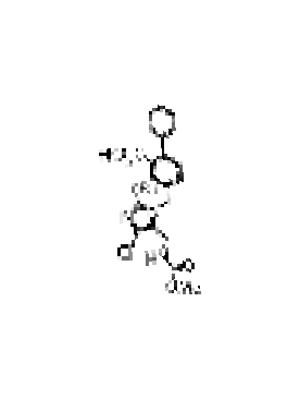 CCCCc1nc(Cl)c(CNC(=O)OC)n1Cc1ccc(-c2ccccc2)c(C(=O)O)c1